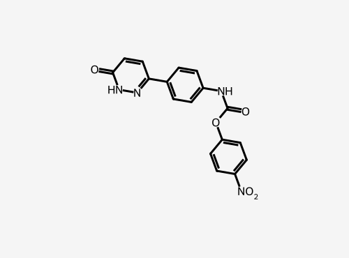 O=C(Nc1ccc(-c2ccc(=O)[nH]n2)cc1)Oc1ccc([N+](=O)[O-])cc1